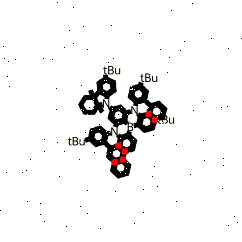 CC(C)(C)c1ccc(N2c3cc(-c4ccccc4)ccc3B3c4ccc(C(C)(C)C)cc4N(c4ccc(C(C)(C)C)cc4-c4ccccc4)c4cc(N5c6ccc(C(C)(C)C)cc6C6(C)CCCCC56C)cc2c43)c(-c2ccccc2)c1